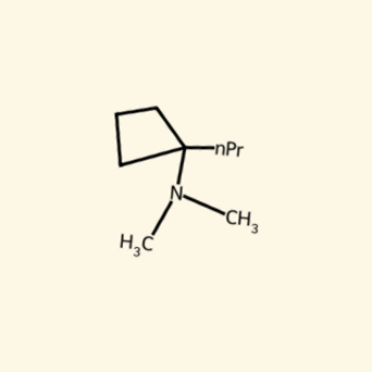 CCCC1(N(C)C)CCC1